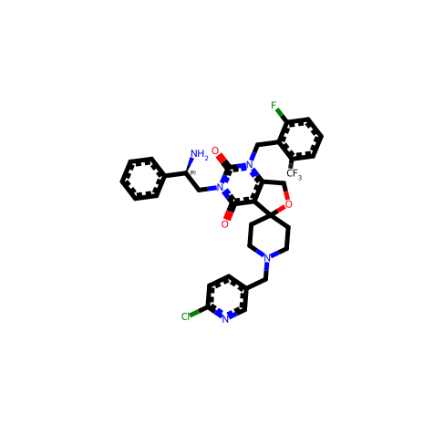 N[C@@H](Cn1c(=O)c2c(n(Cc3c(F)cccc3C(F)(F)F)c1=O)COC21CCN(Cc2ccc(Cl)nc2)CC1)c1ccccc1